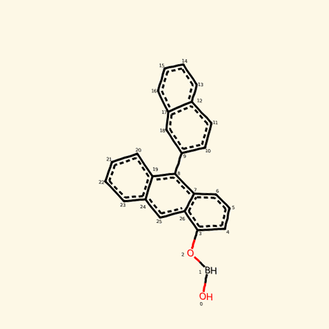 OBOc1cccc2c(-c3ccc4ccccc4c3)c3ccccc3cc12